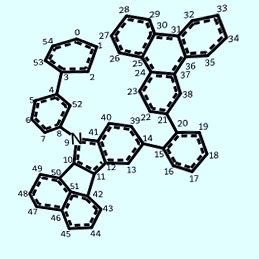 c1ccc(-c2cccc(-n3c4c(c5cc(-c6ccccc6-c6ccc7c8ccccc8c8ccccc8c7c6)ccc53)-c3cccc5cccc-4c35)c2)cc1